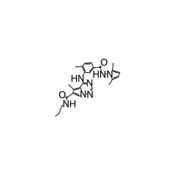 CCCNC(=O)c1cn2ncnc(Nc3cc(C(=O)Nn4c(C)ccc4C)ccc3C)c2c1C